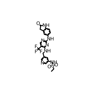 CCS(=O)(=O)Nc1cncc(CNc2nc(Nc3ccc4c(c3)CC(=O)N4)ncc2C(F)(F)F)c1